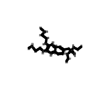 CCOP(=O)(Cc1ccc2nc(OCCOC)c(OCCOC)nc2c1)OCC